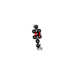 N#Cc1ccc(-c2ccc(N3c4ccccc4C4(c5ccccc53)c3ccccc3C3(c5ccccc5N(c5cccnc5)c5ccccc53)c3ccccc34)cc2)nc1